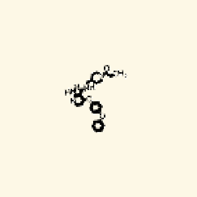 C=CC(=O)N1CCC(CNc2n[nH]c3nccc(Oc4ccc(Oc5ccccc5)cc4)c23)CC1